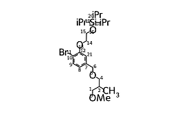 COCC(C)COCc1ccc(Br)c(OCCO[Si](C(C)C)(C(C)C)C(C)C)c1